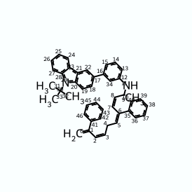 C=C(/C=C\C/C=C(\C=C/C(C)Nc1cccc(-c2ccc3c(c2)c2ccccc2n3C(C)(C)C)c1)c1ccccc1)c1ccccc1